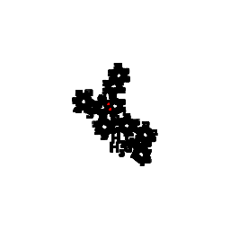 CC1(C)c2ccccc2-c2cccc(-c3ccc(N(c4ccc(-c5ccc6ccccc6c5)cc4)c4ccccc4-c4cccc5c4sc4ccccc45)cc3)c21